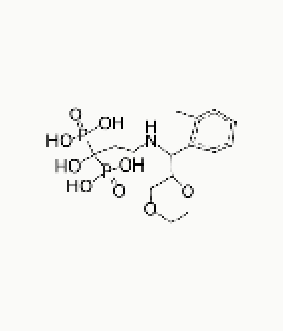 Cc1ccccc1C(NCCC(O)(P(=O)(O)O)P(=O)(O)O)C1COCCO1